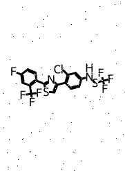 Fc1ccc(-c2nc(-c3ccc(NSC(F)(F)F)cc3Cl)cs2)c(C(F)(F)F)c1